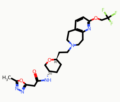 Cc1nnc(CC(=O)N[C@H]2CC[C@H](CCN3CCc4ccc(OCC(F)(F)F)nc4CC3)OC2)o1